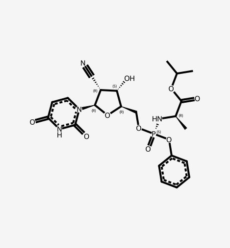 CC(C)OC(=O)[C@@H](C)N[P@](=O)(OC[C@H]1O[C@@H](n2ccc(=O)[nH]c2=O)[C@H](C#N)[C@@H]1O)Oc1ccccc1